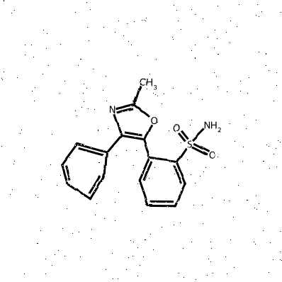 Cc1nc(-c2ccccc2)c(-c2ccccc2S(N)(=O)=O)o1